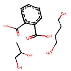 CC(O)CO.O=C(O)c1ccccc1C(=O)O.OCCCCO